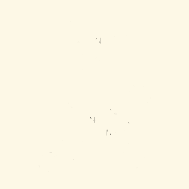 CC1(C)C2=CC3C(C=C2c2ccccc21)c1ccc(-c2ccc4c(c2)c2ccccc2n4-c2ccccc2)cc1N3c1nc(-c2ccccc2)nc(-c2ccccc2)n1